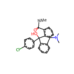 CNC(=O)c1ccccc1C(O)(c1ccc(Cl)cc1)c1ccccc1CN(C)C